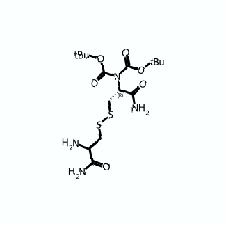 CC(C)(C)OC(=O)N(C(=O)OC(C)(C)C)[C@@H](CSSCC(N)C(N)=O)C(N)=O